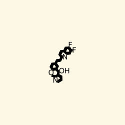 OC1c2cc(C=Cc3ccc4cc(F)c(F)cc4n3)ccc2OCc2ncccc21